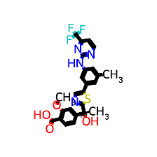 COc1cc([C@@](C)(O)c2ncc(-c3cc(C)cc(Nc4nccc(C(F)(F)F)n4)c3)s2)ccc1C(=O)O